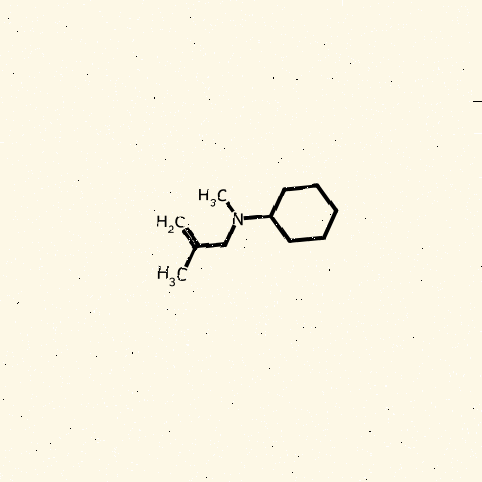 C=C(C)CN(C)C1CCCCC1